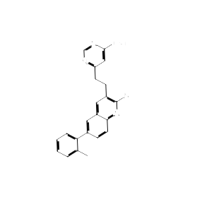 Cc1ccccc1-c1ccc2nc(N)c(CCc3cc(C(C)(C)C)ncn3)cc2c1